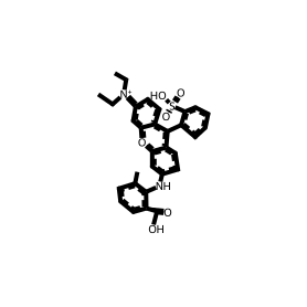 CC[N+](CC)=c1ccc2c(-c3ccccc3S(=O)(=O)O)c3ccc(Nc4c(C)cccc4C(=O)O)cc3oc-2c1